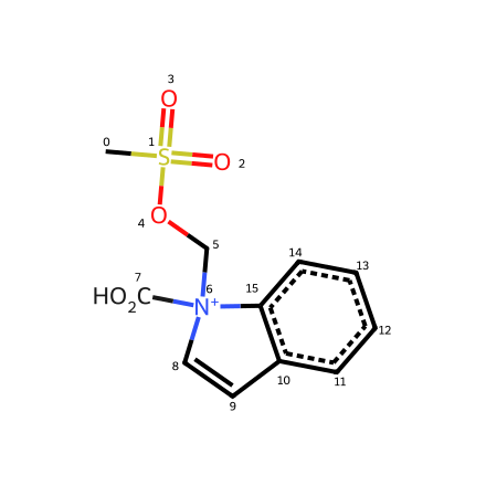 CS(=O)(=O)OC[N+]1(C(=O)O)C=Cc2ccccc21